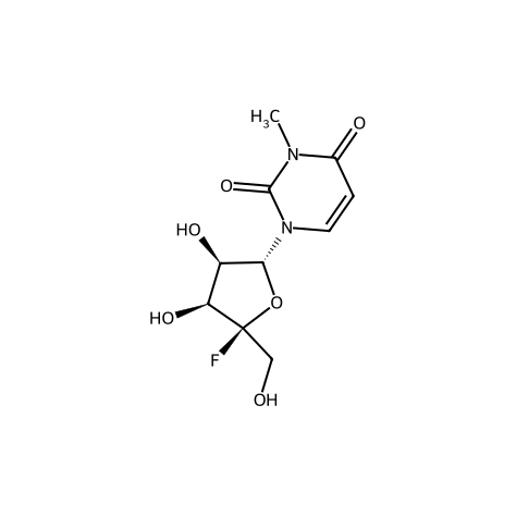 Cn1c(=O)ccn([C@@H]2O[C@](F)(CO)[C@@H](O)[C@H]2O)c1=O